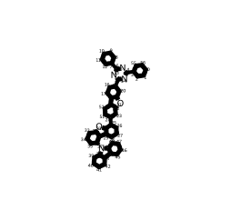 c1ccc(-c2nc(-c3ccccc3)nc(-c3ccc4c(c3)oc3cc(-c5cccc6c5oc5cccc(-n7c8ccccc8c8ccccc87)c56)ccc34)n2)cc1